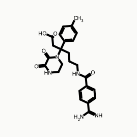 Cc1ccc(C(CCCNC(=O)c2ccc(C(=N)N)cc2)(CC(=O)O)N2CCNC(=O)C2=O)cc1